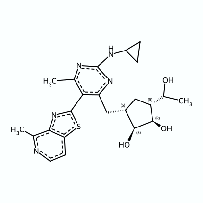 Cc1nc(NC2CC2)nc(C[C@@H]2C[C@H](C(C)O)[C@@H](O)[C@H]2O)c1-c1nc2c(C)nccc2s1